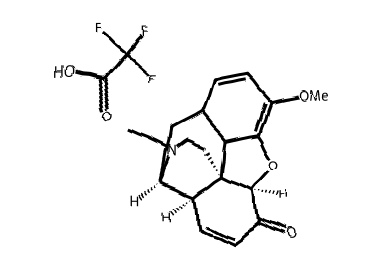 COC1=C2O[C@H]3C(=O)C=C[C@H]4[C@H]5CC(C=C1)C2[C@@]34CCN5C.O=C(O)C(F)(F)F